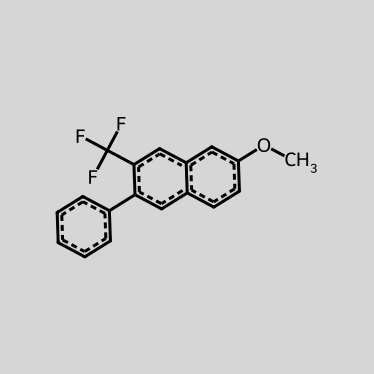 COc1ccc2cc(-c3ccccc3)c(C(F)(F)F)cc2c1